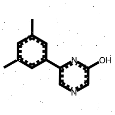 Cc1cc(C)cc(-c2cncc(O)n2)c1